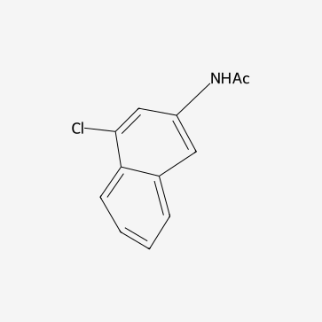 [CH2]C(=O)Nc1cc(Cl)c2ccccc2c1